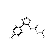 CC(C)OC(=O)Cc1ccsc1-c1ccc(Cl)cc1